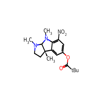 CN1CC[C@@]2(C)c3cc(OC(=O)C(C)(C)C)cc([N+](=O)[O-])c3N(C)C12